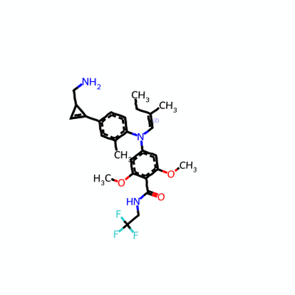 CC/C(C)=C\N(c1cc(OC)c(C(=O)NCC(F)(F)F)c(OC)c1)c1ccc(C2=CC2CN)cc1C